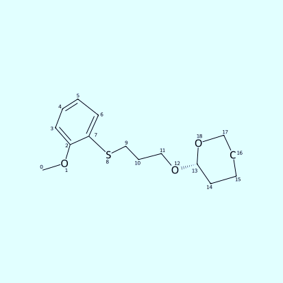 COc1ccccc1SCCCO[C@H]1CCCCO1